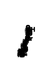 CN(Cc1cc2c(cc1Br)C(=O)N(C1CCC(=O)NC1=O)C2)C1CCN(c2cccc(-c3cnn4ccc(N5CCC[C@@H]5c5cc(F)ccc5F)nc34)n2)CC1